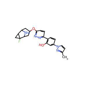 Cc1ccn(-c2ccc(-c3ccc(OC4CC5NC(C4)C4(F)CC54)nn3)c(O)c2)n1